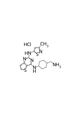 Cc1cc(Nc2nc(NC3CCC(CN)CC3)c3sccc3n2)sn1.Cl